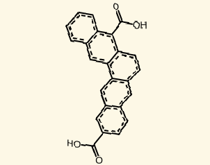 O=C(O)c1ccc2cc3ccc4c(C(=O)O)c5ccccc5cc4c3cc2c1